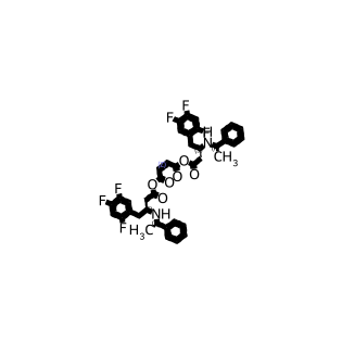 C[C@@H](N[C@H](CC(=O)OC(=O)/C=C\C(=O)OC(=O)C[C@H](Cc1cc(F)c(F)cc1F)N[C@H](C)c1ccccc1)Cc1cc(F)c(F)cc1F)c1ccccc1